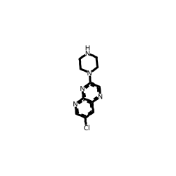 Clc1cnc2nc(N3CCNCC3)cnc2c1